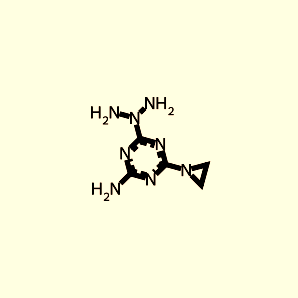 Nc1nc(N(N)N)nc(N2CC2)n1